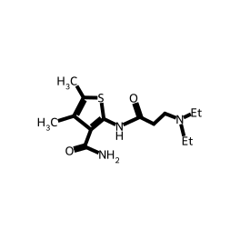 CCN(CC)CCC(=O)Nc1sc(C)c(C)c1C(N)=O